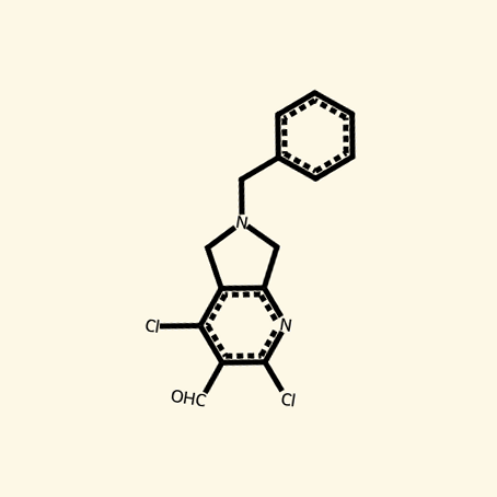 O=Cc1c(Cl)nc2c(c1Cl)CN(Cc1ccccc1)C2